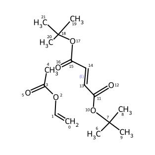 C=COC(C)=O.CC(C)(C)OC(=O)/C=C/C(=O)OC(C)(C)C